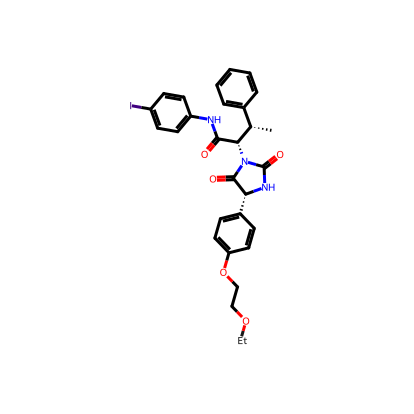 CCOCCOc1ccc([C@H]2NC(=O)N([C@H](C(=O)Nc3ccc(I)cc3)[C@@H](C)c3ccccc3)C2=O)cc1